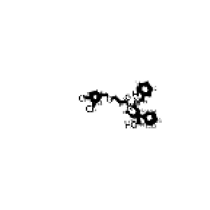 O=C(CCOCc1ccc(Cl)c(Cl)c1)N1CCC(CO)(c2ccccc2)CC1NCc1ccccc1